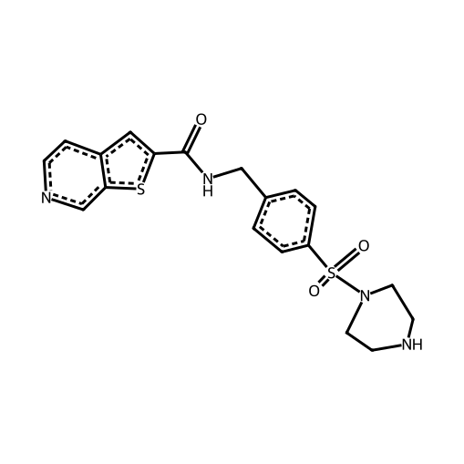 O=C(NCc1ccc(S(=O)(=O)N2CCNCC2)cc1)c1cc2ccncc2s1